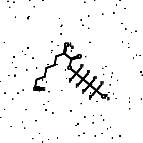 C=C(CCCCCCCCCCCCCCC)C(=O)OC(F)(F)C(F)(F)C(F)(F)C(F)(F)C(F)(F)F